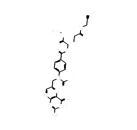 C#CCNC(=O)CC[C@H](NC(=O)c1ccc(N(Cc2cnc3nc(N)[nH]c(=O)c3n2)C(=O)C(F)(F)F)cc1)C(=O)OC(C)(C)C